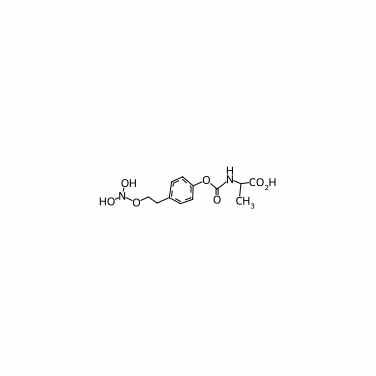 CC(NC(=O)Oc1ccc(CCON(O)O)cc1)C(=O)O